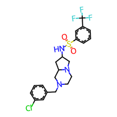 O=S(=O)(NC1CC2CN(Cc3cccc(Cl)c3)CCN2C1)c1cccc(C(F)(F)F)c1